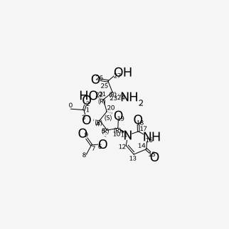 CC(=O)O[C@H]1[C@@H](OC(C)=O)[C@H](n2ccc(=O)[nH]c2=O)O[C@H]1[C@H](O)[C@@H](N)C(=O)O